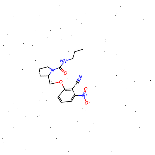 CCCNC(=O)N1CCCC1COc1cccc([N+](=O)[O-])c1C#N